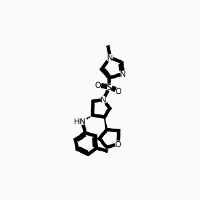 Cc1cccc(N[C@@H]2CN(S(=O)(=O)c3cn(C)cn3)C[C@H]2C2CCOC2)c1